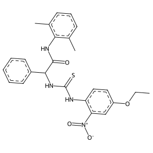 CCOc1ccc(NC(=S)NC(C(=O)Nc2c(C)cccc2C)c2ccccc2)c([N+](=O)[O-])c1